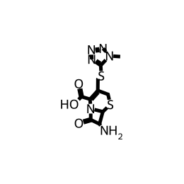 Cn1nnnc1SCC1=C(C(=O)O)N2C(=O)C(N)C2SC1